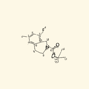 Cc1cc(F)c2c(c1)CCN(C(=O)OC(C)(C)C)C2